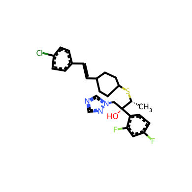 C[C@@H](SC1CCC(/C=C/c2ccc(Cl)cc2)CC1)[C@](O)(Cn1cncn1)c1ccc(F)cc1F